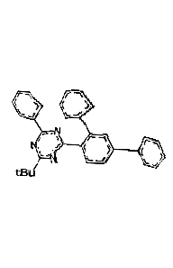 CC(C)(C)c1nc(-c2ccccc2)nc(-c2ccc(-c3ccccc3)cc2-c2ccccc2)n1